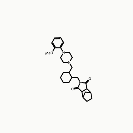 COc1ccccc1N1CCN(CC2CCCCC2CN2C(=O)C3C4CCC(C4)C3C2=O)CC1